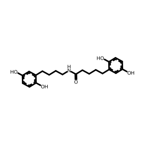 O=C(CCCCc1cc(O)ccc1O)NCCCCc1cc(O)ccc1O